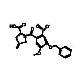 C=C1C[C@@H](C(=O)O)N(C(=O)c2cc(OC)c(OCc3ccccc3)cc2[N+](=O)[O-])C1